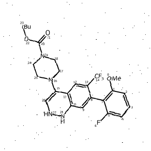 COc1cccc(F)c1-c1cc2c(cc1C(F)(F)F)C(N1CCN(C(=O)OC(C)(C)C)CC1)=CNN2